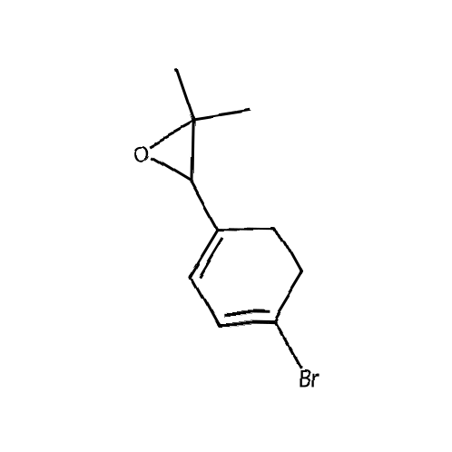 CC1(C)OC1C1=CC=C(Br)CC1